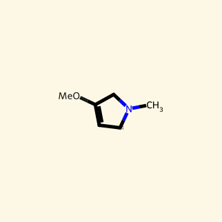 COC1=C[C]N(C)C1